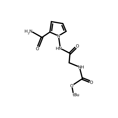 CC(C)(C)OC(=O)NCC(=O)Nn1cccc1C(N)=O